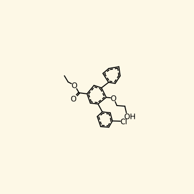 CCOC(=O)c1cc(-c2ccccc2)c(OCCO)c(-c2cccc(Cl)c2)c1